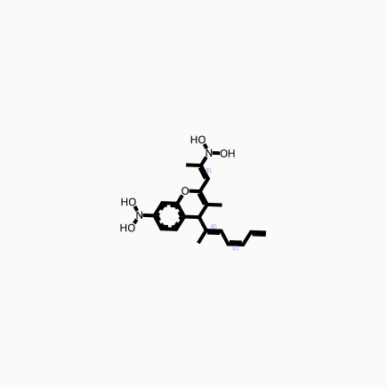 C=C/C=C\C=C(/C)C1C(C)=C(/C=C(\C)N(O)O)Oc2cc(N(O)O)ccc21